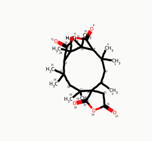 CC1CC(C)(C)C2C(=O)OC(=O)C(C(C)(C)CC(C)(C)C13CC(=O)OC3=O)C(C)(C)C2(C)C